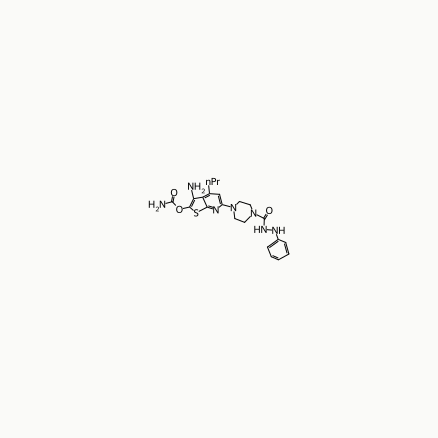 CCCc1cc(N2CCN(C(=O)NNc3ccccc3)CC2)nc2sc(OC(N)=O)c(N)c12